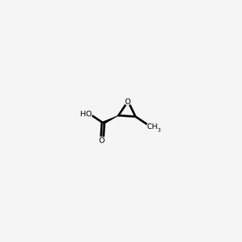 CC1O[C@@H]1C(=O)O